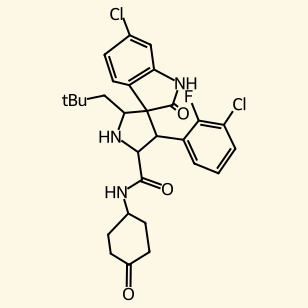 CC(C)(C)CC1NC(C(=O)NC2CCC(=O)CC2)C(c2cccc(Cl)c2F)C12C(=O)Nc1cc(Cl)ccc12